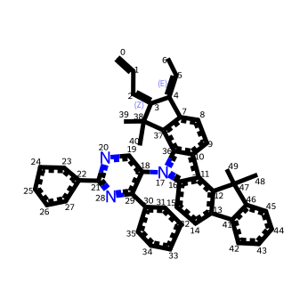 C=C/C=C1\C(=C/C)c2ccc3c4c5c(ccc4n(-c4cnc(-c6ccccc6)nc4-c4ccccc4)c3c2C1(C)C)-c1ccccc1C5(C)C